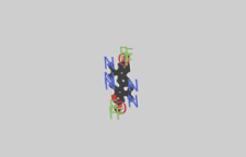 N#CC(C#N)=C1C(c2ccc3c(c2)C(=C(C#N)C#N)c2cc(OC(F)(F)F)ccc2-3)=C(C#N)c2ccc(OC(F)(F)F)cc21